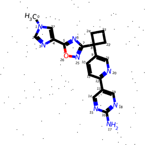 Cn1cnc(-c2nc(C3(c4ccc(-c5cnc(N)nc5)nc4)CCC3)no2)c1